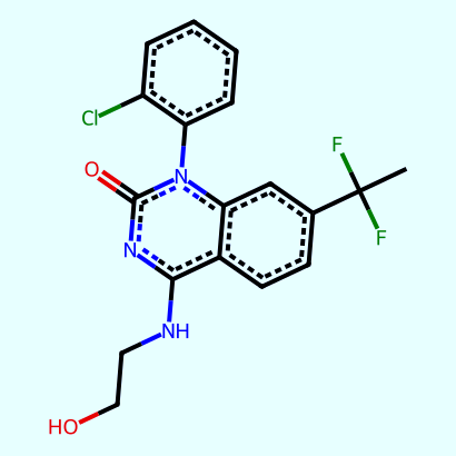 CC(F)(F)c1ccc2c(NCCO)nc(=O)n(-c3ccccc3Cl)c2c1